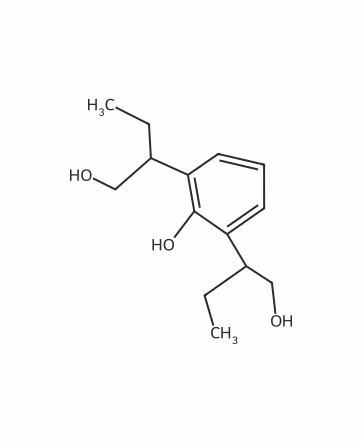 CCC(CO)c1cccc(C(CC)CO)c1O